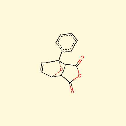 O=C1OC(=O)C2C1C1C=CC2(c2ccccc2)O1